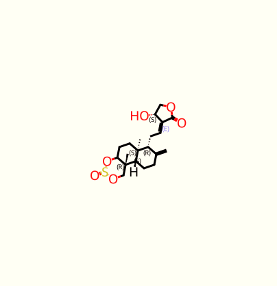 C=C1CC[C@H]2[C@@](C)(CCC3OS(=O)OC[C@]32C)[C@@H]1C/C=C1/C(=O)OC[C@H]1O